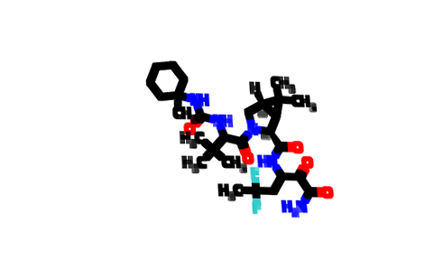 CC(F)(F)CC(NC(=O)[C@@H]1C2[C@H](CN1C(=O)C(NC(=O)NC1(C)CCCCC1)C(C)(C)C)C2(C)C)C(=O)C(N)=O